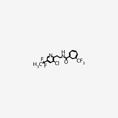 CC(F)(F)c1cnc(CCNC(=O)C2=CC=CC=C(C(F)(F)F)C2)c(Cl)c1